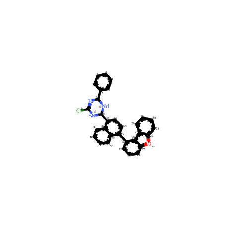 ClC1=NC(c2ccccc2)NC(c2ccc(-c3cccc4oc5ccccc5c34)c3ccccc23)N1